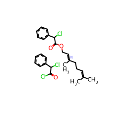 CC(C)=CCC/C(C)=C/COC(=O)C(Cl)c1ccccc1.O=C(Cl)C(Cl)c1ccccc1